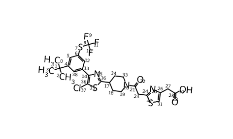 CC(C)(C)c1cc(SC(F)(F)F)cc(-c2nc(C3CCN(C(=O)Cc4nc(CC(=O)O)cs4)CC3)sc2Cl)c1